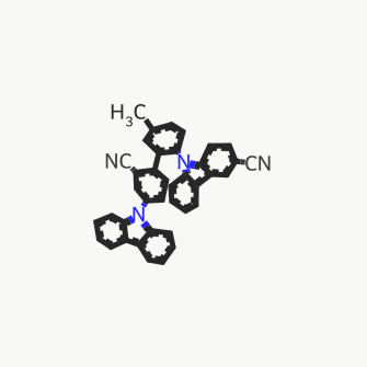 Cc1ccc(-n2c3ccccc3c3cc(C#N)ccc32)c(-c2ccc(-n3c4ccccc4c4ccccc43)cc2C#N)c1